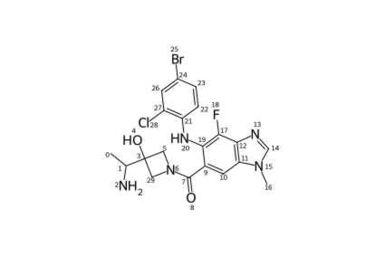 CC(N)C1(O)CN(C(=O)c2cc3c(ncn3C)c(F)c2Nc2ccc(Br)cc2Cl)C1